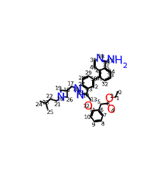 CCOC(=O)Cc1ccccc1OCc1nn(CC2CN(CCC(C)C)C2)c2ccc(-c3cccc4c(N)nccc34)cc12